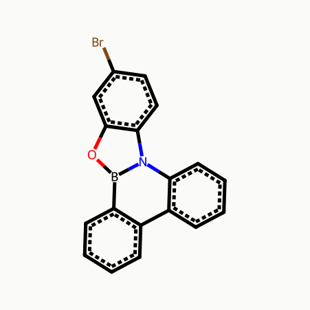 Brc1ccc2c(c1)OB1c3ccccc3-c3ccccc3N12